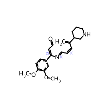 C=C(\C=C/C=N/C(=C\C=O)c1ccc(OC)c(OC)c1)C1CCCNC1